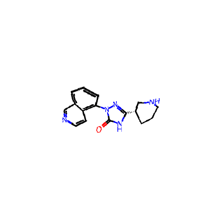 O=c1[nH]c([C@H]2CCCNC2)nn1-c1cccc2cnccc12